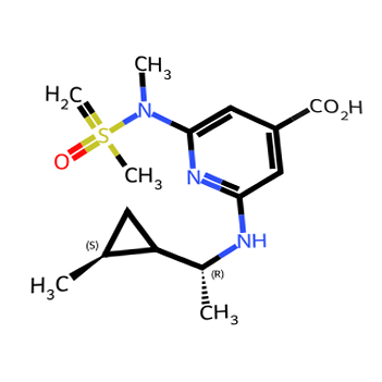 C=S(C)(=O)N(C)c1cc(C(=O)O)cc(N[C@H](C)C2C[C@@H]2C)n1